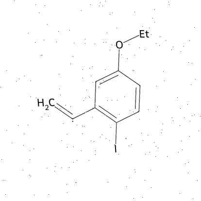 C=[C]c1cc(OCC)ccc1I